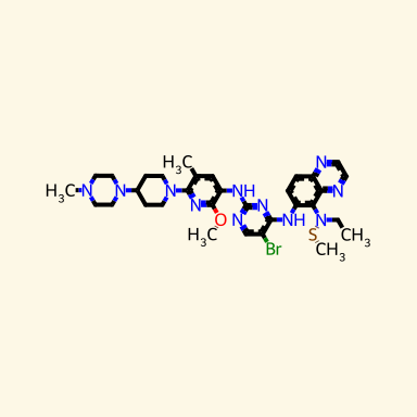 CCN(SC)c1c(Nc2nc(Nc3cc(C)c(N4CCC(N5CCN(C)CC5)CC4)nc3OC)ncc2Br)ccc2nccnc12